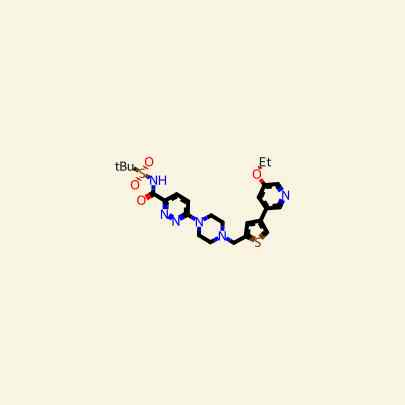 CCOc1cncc(-c2csc(CN3CCN(c4ccc(C(=O)NS(=O)(=O)C(C)(C)C)nn4)CC3)c2)c1